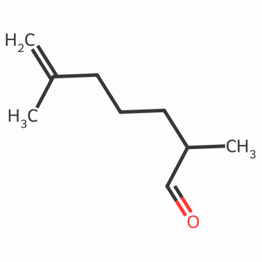 C=C(C)CCCC(C)C=O